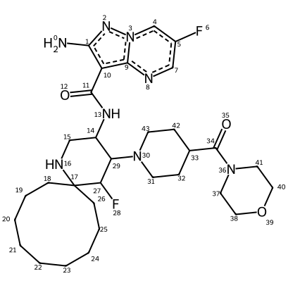 Nc1nn2cc(F)cnc2c1C(=O)NC1CNC2(CCCCCCCCC2)C(F)C1N1CCC(C(=O)N2CCOCC2)CC1